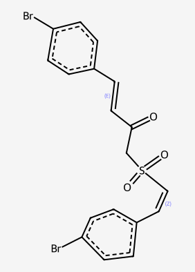 O=C(/C=C/c1ccc(Br)cc1)CS(=O)(=O)/C=C\c1ccc(Br)cc1